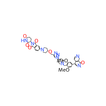 COc1cc(-c2cn(C)c(=O)c3cnccc23)cc(OC)c1CN1CCC(n2cc(COC3CCN(c4ccc5c(c4)C(=O)N(C4CCC(=O)NC4=O)C5=O)CC3)nn2)CC1